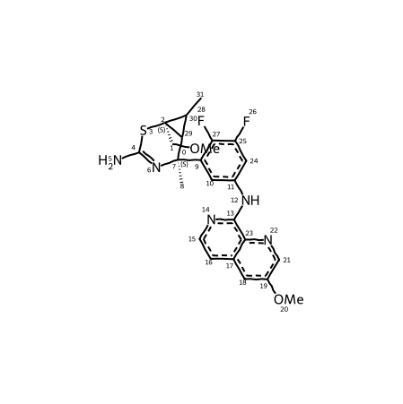 COC[C@@]12SC(N)=N[C@](C)(c3cc(Nc4nccc5cc(OC)cnc45)cc(F)c3F)C1C2C